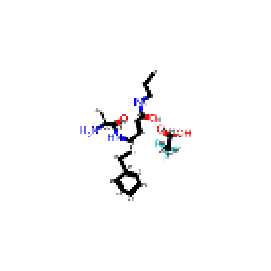 CCCNC(=O)/C=C/[C@H](CCc1ccccc1)NC(=O)[C@H](C)N.O=C(O)C(F)(F)F